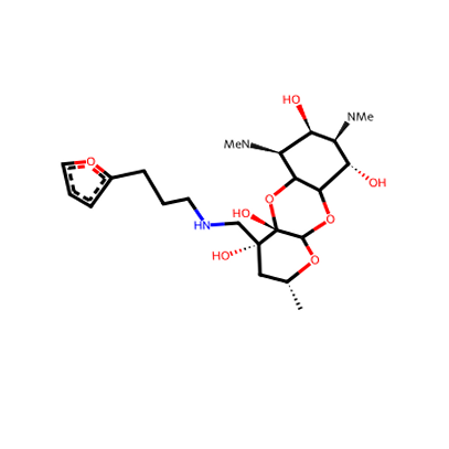 CN[C@@H]1[C@H](O)[C@H](NC)C2O[C@]3(O)C(OC2[C@H]1O)O[C@H](C)C[C@@]3(O)CNCCCc1ccco1